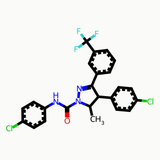 CC1C(c2ccc(Cl)cc2)C(c2cccc(C(F)(F)F)c2)=NN1C(=O)Nc1ccc(Cl)cc1